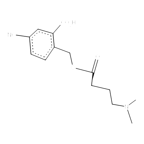 CN(C)CCCC(=O)OCc1ccc(C#N)cc1C(=O)O